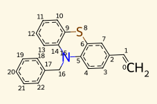 C=Cc1ccc2c(c1)Sc1ccccc1N2Cc1ccccc1